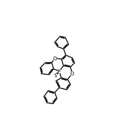 S=P12c3cc(-c4ccccc4)ccc3Oc3ccc(-c4ccccc4)c(c31)Oc1ccccc12